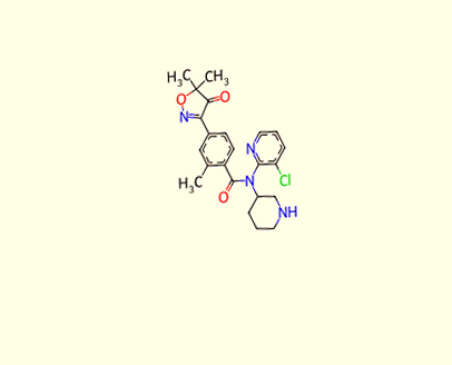 Cc1cc(C2=NOC(C)(C)C2=O)ccc1C(=O)N(c1ncccc1Cl)C1CCCNC1